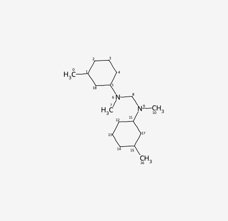 CC1CCCC(N(C)CN(C)C2CCCC(C)C2)C1